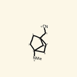 CNC12CCC(CC#N)(CC1)C2